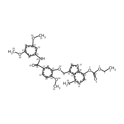 CCOC(=O)Oc1cnc(N)c2c(COc3cc(C(=O)Nc4cc(OC)cc(OC)c4)ccc3OC)csc12